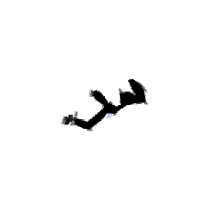 C=CC/C=C(\C)CCCC